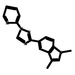 Cc1cn(C)c2ccc(-c3ncn(-c4ccccn4)n3)cc12